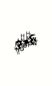 CCC(Nc1c(Nc2ccnc(C(=O)N(C)C)c2O)c(=O)c1=O)c1ccncn1